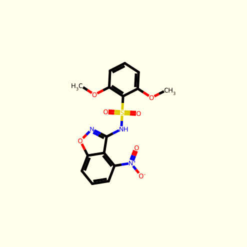 COc1cccc(OC)c1S(=O)(=O)Nc1noc2cccc([N+](=O)[O-])c12